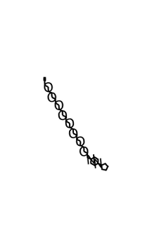 C#CCOCCOCCOCCOCCOCCOCCOCCOCCN1CCN(C2CCCC2)CC1